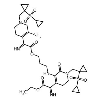 CCOC(=O)C(=N)C1=C(NCCCOC(=O)C(=N)C2=C(N)CN(CC3(S(=O)(=O)C4CC4)CC3)CC2)C(=O)N(CC2(S(=O)(=O)C3CC3)CC2)CC1